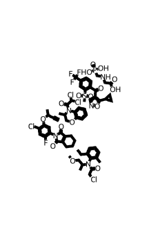 C#CC(C)Oc1cc(N2C(=O)C3=C(CCCC3)C2=O)c(F)cc1Cl.CC1COc2ccccc2N1C(=O)C(Cl)Cl.CCc1cccc(C)c1N(C(=O)CCl)C(C)COC.CS(=O)(=O)c1cc(C(F)(F)F)ccc1C(=O)c1cnoc1C1CC1.O=C(O)CNCP(=O)(O)O